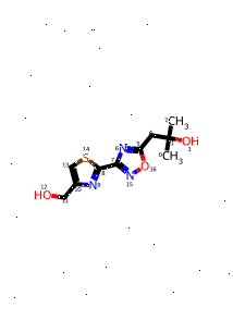 CC(C)(O)Cc1nc(-c2nc(CO)cs2)no1